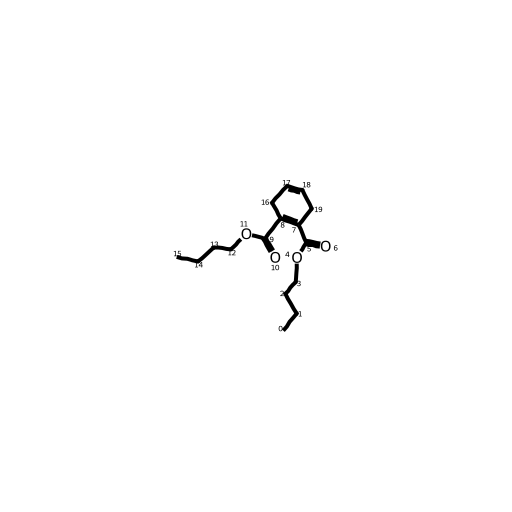 CCCCOC(=O)C1=C(C(=O)OCCCC)CC=CC1